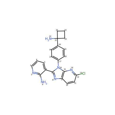 Nc1ncccc1-c1nc2ccc(Cl)nc2n1-c1ccc(C2(N)CCC2)cc1